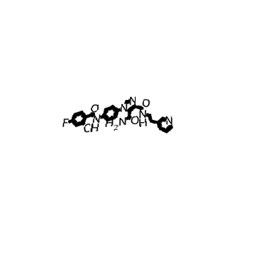 NC(=O)c1c(C(=O)NCCc2cccnc2)ncn1-c1ccc(NC(=O)c2ccc(F)cc2Cl)cc1